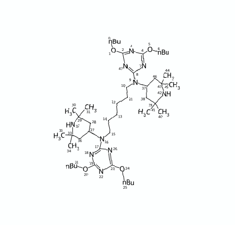 CCCCOc1nc(OCCCC)nc(N(CCCCCCN(c2nc(OCCCC)nc(OCCCC)n2)C2CC(C)(C)NC(C)(C)C2)C2CC(C)(C)NC(C)(C)C2)n1